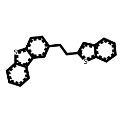 c1ccc2sc(CCc3ccc4sc5ccccc5c4c3)cc2c1